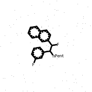 CCCCCC(c1cccc(F)c1)C(F)c1ccc2ccccc2c1